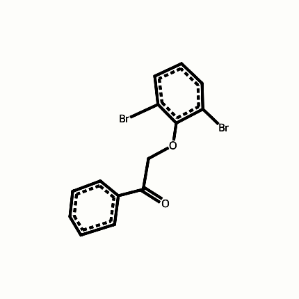 O=C(COc1c(Br)cccc1Br)c1ccccc1